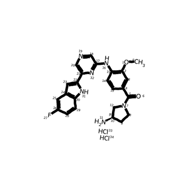 COc1cc(C(=O)N2CC[C@@H](N)C2)ccc1Nc1cncc(-c2cc3cc(F)ccc3[nH]2)n1.Cl.Cl